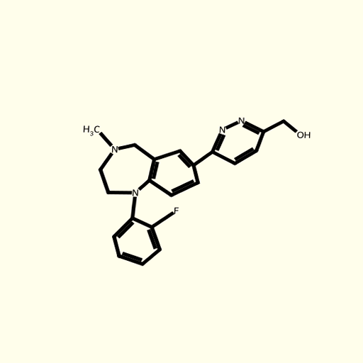 CN1CCN(c2ccccc2F)c2ccc(-c3ccc(CO)nn3)cc2C1